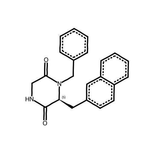 O=C1NCC(=O)N(Cc2ccccc2)[C@H]1Cc1ccc2ccccc2c1